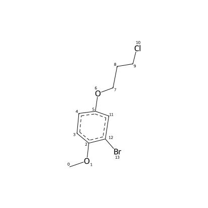 COc1ccc(OCCCCl)cc1Br